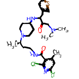 Cc1cc(Cl)nc(Cl)c1C(=O)NCC[C@@H](C)N1CCC(NC(C(=O)CN(C)C)c2ccsc2)CC1